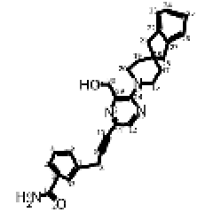 NC(=O)c1cccc(CC#Cc2cnc(N3CCC4(CC3)Cc3ccccc3C4)c(CO)n2)c1